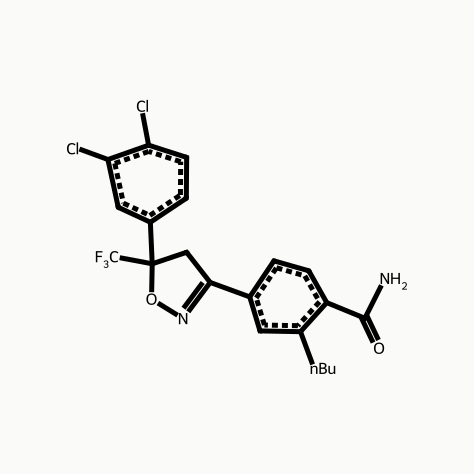 CCCCc1cc(C2=NOC(c3ccc(Cl)c(Cl)c3)(C(F)(F)F)C2)ccc1C(N)=O